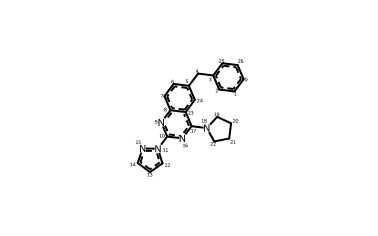 c1ccc(Cc2ccc3nc(-n4cccn4)nc(N4CCCC4)c3c2)cc1